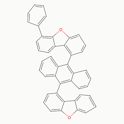 c1ccc(-c2cccc3c2oc2cccc(-c4c5ccccc5c(-c5cccc6oc7ccccc7c56)c5ccccc45)c23)cc1